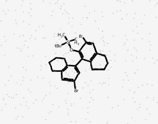 CC(C)(C)[Si](C)(C)Oc1c(Br)cc2c(c1-c1cc(Br)cc3c1CCCC3)CCCC2